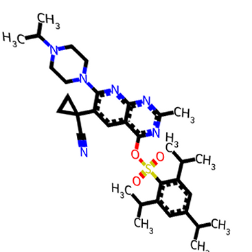 Cc1nc(OS(=O)(=O)c2c(C(C)C)cc(C(C)C)cc2C(C)C)c2cc(C3(C#N)CC3)c(N3CCN(C(C)C)CC3)nc2n1